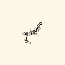 COCCCn1c(C2CCCN(C(=O)[C@@H]3CN(S(=O)(=O)c4cccc(Oc5ccccc5)c4)C[C@H]3N)C2)nc2ccccc21